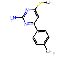 CSc1cc(-c2ccc(C)cc2)nc(N)n1